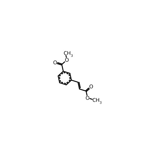 COC(=O)/C=C/c1cccc(C(=O)OC)c1